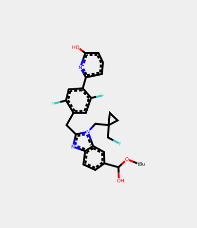 CC(C)(C)OC(O)c1ccc2nc(Cc3cc(F)c(-c4cccc(O)n4)cc3F)n(CC3(CF)CC3)c2c1